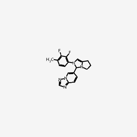 Cc1ccc(N2C=C3CCCN3C2c2ccc3ncnn3c2)c(F)c1F